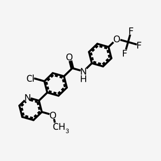 COc1cccnc1-c1ccc(C(=O)Nc2ccc(OC(F)(F)F)cc2)cc1Cl